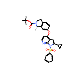 C[C@H]1c2cc(Oc3ccnc4c3cc(C3CC3)n4S(=O)(=O)c3ccccc3)ccc2CCN1C(=O)OC(C)(C)C